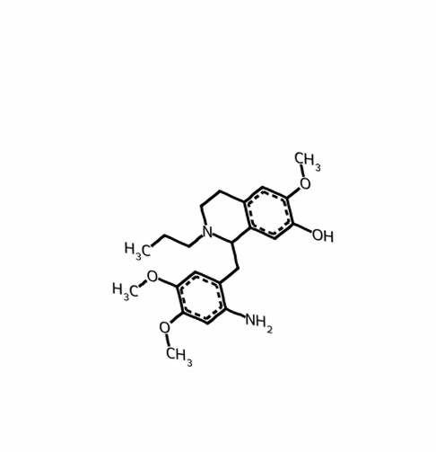 CCCN1CCc2cc(OC)c(O)cc2C1Cc1cc(OC)c(OC)cc1N